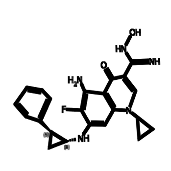 N=C(NO)c1cn(C2CC2)c2cc(N[C@@H]3C[C@H]3c3ccccc3)c(F)c(N)c2c1=O